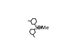 CO[SiH](C1CCCC(C)C1)C1CCCC(C)C1